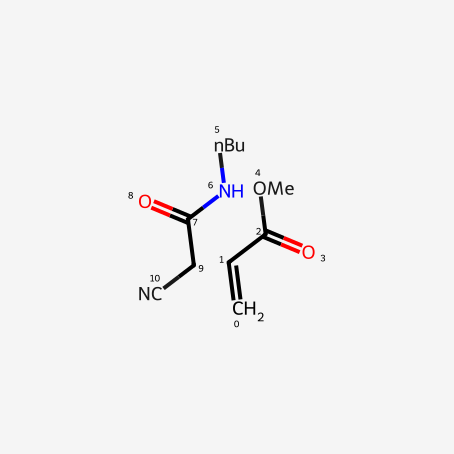 C=CC(=O)OC.CCCCNC(=O)CC#N